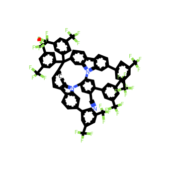 N#Cc1cc2c(cc1-c1cc(C(F)(F)F)cc(C(F)(F)F)c1)-n1c3cc(-c4cc(C(F)(F)F)cc(C(F)(F)F)c4)ccc3c3ccc(cc31)C(c1cc(C(F)(F)F)cc(C(F)(F)F)c1)(c1cc(C(F)(F)F)cc(C(F)(F)F)c1)c1ccc3c4ccc(-c5cc(C(F)(F)F)cc(C(F)(F)F)c5)cc4n-2c3c1